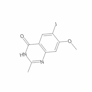 COc1cc2nc(C)[nH]c(=O)c2cc1I